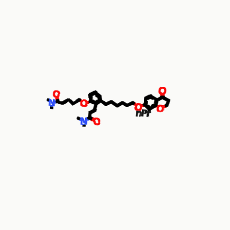 CCCc1c(OCCCCCCc2cccc(OCCCCC(=O)N(C)C)c2CCC(=O)N(C)C)ccc2c1OCCC2=O